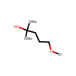 CCOCCCC(O)(OC)OC